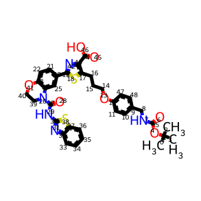 CC(C)(C)OC(=O)NCc1ccc(OCCCc2sc(-c3ccc4c(c3)N(C(=O)Nc3nc5ccccc5s3)CCO4)nc2C(=O)O)cc1